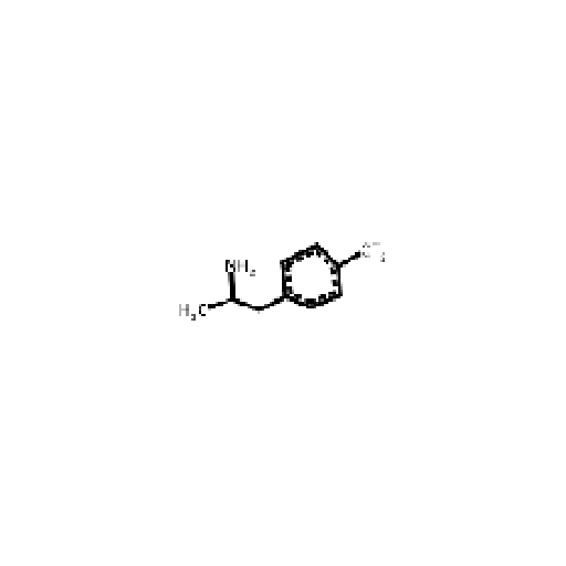 C[C@@H](N)Cc1ccc(C(F)(F)F)cc1